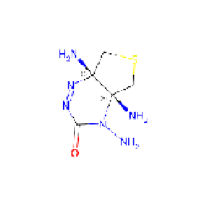 NN1C(=O)N=N[C@]2(N)CSC[C@]12N